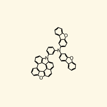 c1cc(N(c2ccc3c(c2)oc2ccccc23)c2ccc3oc4ccccc4c3c2)cc(-n2c3cccc4c3c3c5c(ccc6oc7cccc-4c7c65)ccc32)c1